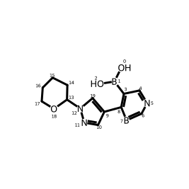 OB(O)c1cncbc1-c1cnn(C2CCCCO2)c1